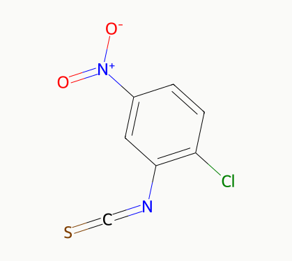 O=[N+]([O-])c1ccc(Cl)c(N=C=S)c1